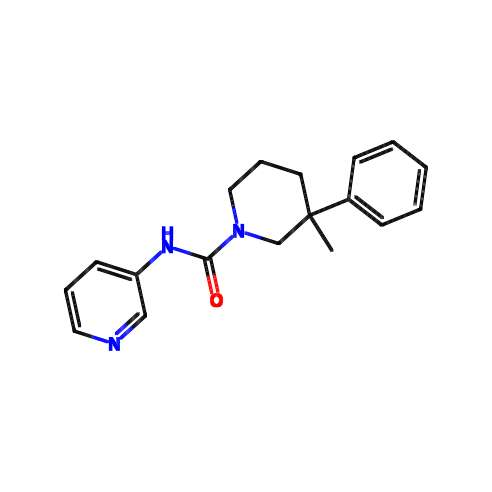 CC1(c2ccccc2)CCCN(C(=O)Nc2cccnc2)C1